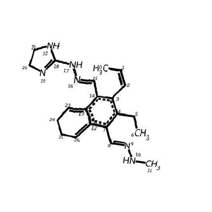 C/C=C\c1c(CC)c(/C=N/NC)c2c(c1/C=N/NC1=NCCN1)=CCCC=2